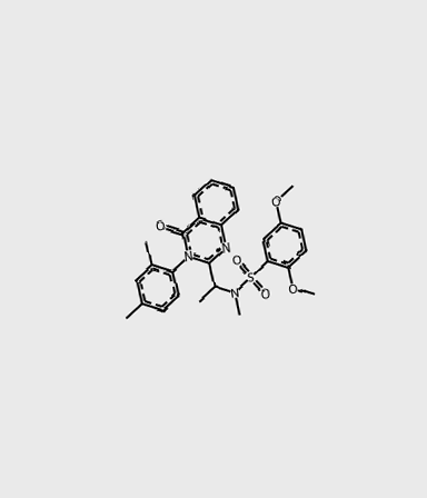 COc1ccc(OC)c(S(=O)(=O)N(C)C(C)c2nc3ccccc3c(=O)n2-c2ccc(C)cc2C)c1